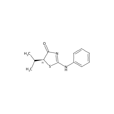 CC(C)[C@@H]1SC(Nc2ccccc2)=NC1=O